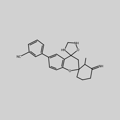 CC1C(=N)CCCC12CC1(NCNO1)c1cc(-c3cccc(C#N)c3)ccc1O2